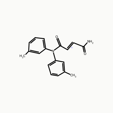 Cc1cccc(N(C(=O)/C=C/C(N)=O)c2cccc(C)c2)c1